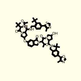 CC(=O)NC(C(=O)N1CC(Oc2ccc3c(c2)C(=O)N(C(C(=O)N2CC(O)CC2C(=O)NCc2ccc(-c4ocnc4C)cc2C(C)(C)C)C(C)C)C3)CC1C(=O)NCc1ccc(-c2scnc2C)cc1C(C)(C)C)C(C)(C)C